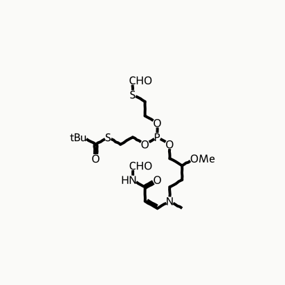 COC(CCN(C)/C=C\C(=O)NC=O)COP(OCCSC=O)OCCSC(=O)C(C)(C)C